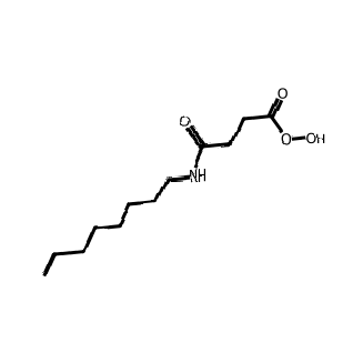 CCCCCCCCNC(=O)CCC(=O)OO